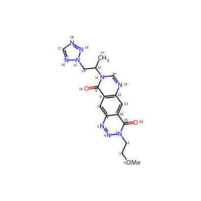 COCCn1nnc2cc3c(=O)n(C(C)Cn4ncnn4)cnc3cc2c1=O